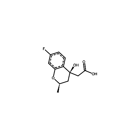 C[C@@H]1C[C@@](O)(CC(=O)O)c2ccc(F)cc2O1